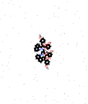 CCC(CC)(C(=O)N[C@@H](c1cccc2ccccc12)C(O)(Cc1cccc(OC)c1)Cc1cccc(OC)c1)C(=O)N[C@@H](c1cccc2ccccc12)C(O)(Cc1cccc(OC)c1)Cc1cccc(OC)c1